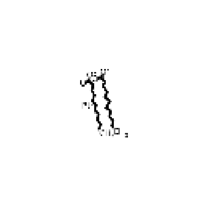 CCCCCCCCCCCC(=O)[O-].CCCCCCCCCCCC(=O)[O-].[Pt+2]